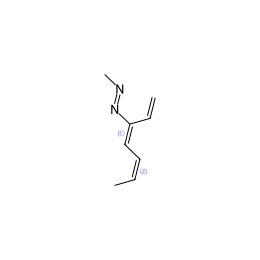 C=C/C(=C\C=C/C)N=NC